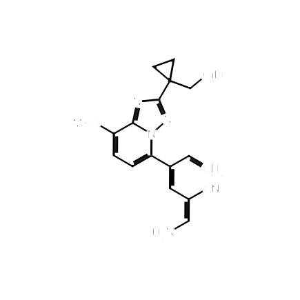 C=C/C(=C\C(C#N)=C/N)c1ccc(OC)c2nc(C3(COCC(C)C)CC3)nn12